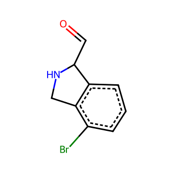 O=CC1NCc2c(Br)cccc21